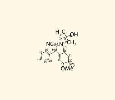 COC1C=C2C(=CN(CC(C)(C)O)C(C#N)=C2c2ccccc2)CC1=O